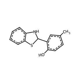 Cc1ccc(O)c(C2Nc3ccccc3S2)c1